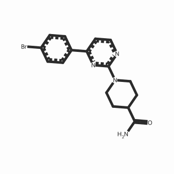 NC(=O)C1CCN(c2nccc(-c3ccc(Br)cc3)n2)CC1